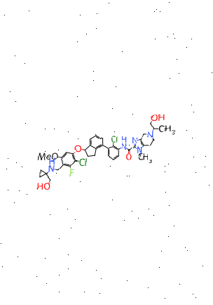 COc1cc(OC2CCc3c(-c4cccc(NC(=O)c5nc6c(n5C)CCN(C(C)CO)C6)c4Cl)cccc32)c(Cl)c(F)c1CNC1(CO)CC1